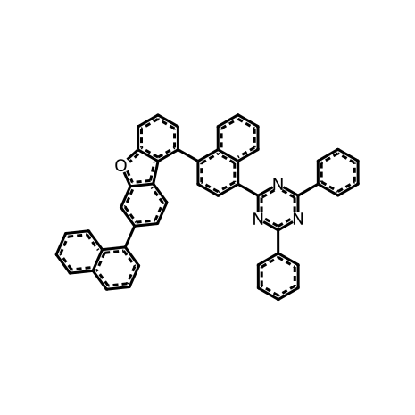 c1ccc(-c2nc(-c3ccccc3)nc(-c3ccc(-c4cccc5oc6cc(-c7cccc8ccccc78)ccc6c45)c4ccccc34)n2)cc1